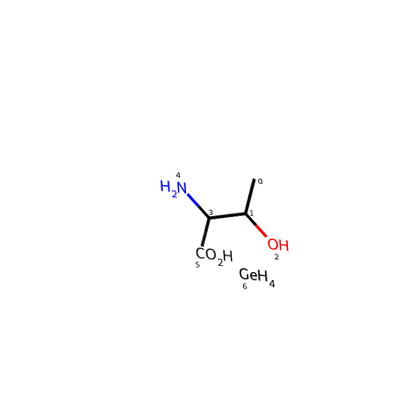 CC(O)C(N)C(=O)O.[GeH4]